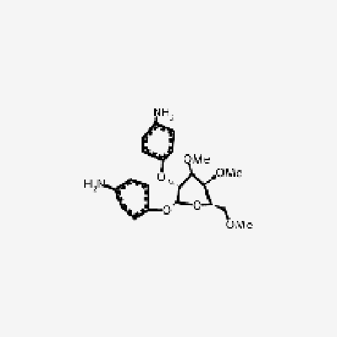 COC[C@H]1O[C@H](Oc2ccc(N)cc2)[C@H](Oc2ccc(N)cc2)[C@@H](OC)[C@H]1OC